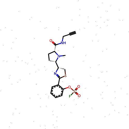 C#CCNC(=O)[C@H]1CC[C@@H]([C@@H]2CSC(c3ccccc3OS(=O)(=O)F)=N2)N1C